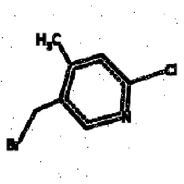 Cc1cc(Cl)ncc1CBr